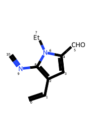 C=Cc1cc(C=O)n(CC)c1N=C